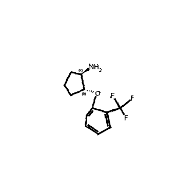 N[C@@H]1CCC[C@H]1Oc1ccccc1C(F)(F)F